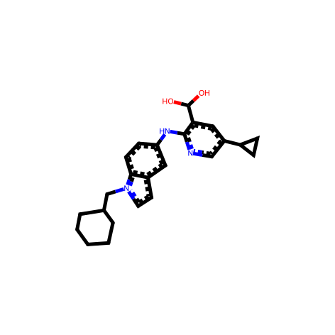 OC(O)c1cc(C2CC2)cnc1Nc1ccc2c(ccn2CC2CCCCC2)c1